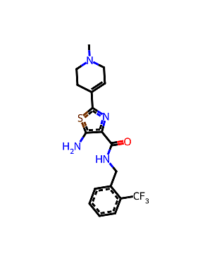 CN1CC=C(c2nc(C(=O)NCc3ccccc3C(F)(F)F)c(N)s2)CC1